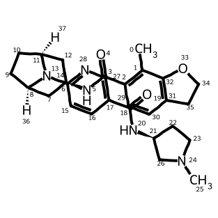 Cc1c(C(=O)N[C@H]2C[C@H]3CC[C@@H](C2)N3c2ccc(C(=O)N[C@H]3CCN(C)C3)cn2)ccc2c1OCC2